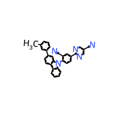 Cc1cccc(-c2ccc3c4ccccc4n(-c4ccc(-c5ncc(C#N)cn5)cc4C#N)c3c2)c1